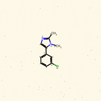 Cc1ncc(-c2cccc(Br)c2)n1C